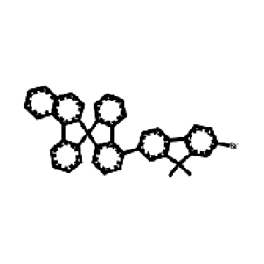 CC1(C)c2cc(Br)ccc2-c2ccc(-c3cccc4c3-c3ccccc3C43c4ccccc4-c4c3ccc3ccccc43)cc21